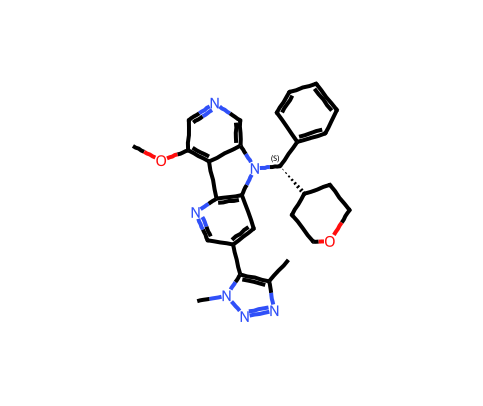 COc1cncc2c1c1ncc(-c3c(C)nnn3C)cc1n2[C@H](c1ccccc1)C1CCOCC1